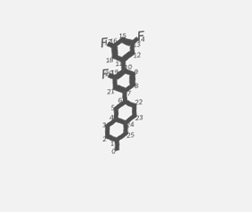 CC1CCC2CC(c3ccc(-c4cc(F)cc(F)c4)c(F)c3)CCC2C1